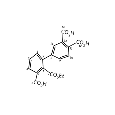 CCOC(=O)c1c(C(=O)O)cccc1-c1ccc(C(=O)O)c(C(=O)O)c1